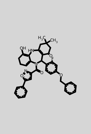 CC1(C)CC(=O)C2=C(C1)NC1=C(O)CCC=C1N(C(=O)c1cc(-c3ccccc3)on1)C2c1ccc(OCc2ccccc2)cc1F